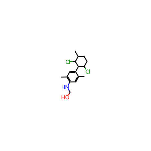 Cc1cc(C2C(Cl)CCC(C)C2Cl)c(C)cc1NCO